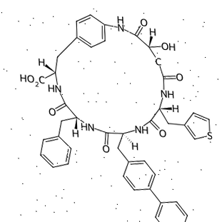 O=C1C[C@@H](O)C(=O)Nc2ccc(cc2)C[C@@H](C(=O)O)NC(=O)[C@@H](Cc2ccccc2)NC(=O)[C@H](Cc2ccc(-c3ccccc3)cc2)NC(=O)[C@@H](Cc2ccsc2)N1